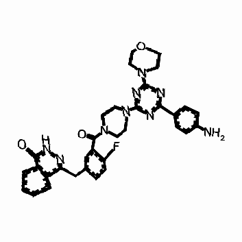 Nc1ccc(-c2nc(N3CCOCC3)nc(N3CCN(C(=O)c4cc(Cc5n[nH]c(=O)c6ccccc56)ccc4F)CC3)n2)cc1